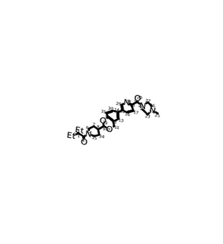 CCC(CC)C(=O)N1CCC(C2OCc3cc(-c4ccc(C(=O)N5CCN(C)CC5)nc4)ccc3O2)CC1